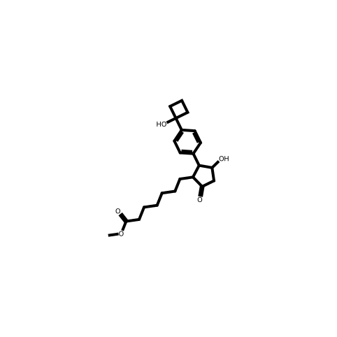 COC(=O)CCCCCCC1C(=O)CC(O)C1c1ccc(C2(O)CCC2)cc1